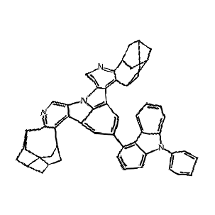 c1ccc(-n2c3ccccc3c3c(-c4cc5c6c7c(ncc6n6c8cnc9c(c8c(c4)c56)C4CC5CC6CC9CC65C4)C4CC5CC(C4)CC7C5)cccc32)cc1